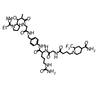 CCC(=O)N1CCCC1C(OC)C(C)C(=O)NCC(=O)NCc1ccc(NC(=O)C(CCCNC(N)=O)NC(=O)CNC(=O)CCCN2CCC(C(N)=O)CC2C(F)(F)F)cc1